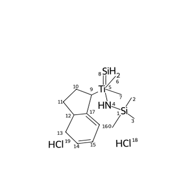 C[Si](C)(C)[NH][Ti]([CH3])([CH3])(=[SiH2])[CH]1CCC2CC=CC=C21.Cl.Cl